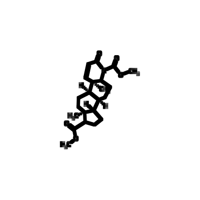 COC(=O)C1CC[C@H]2[C@@H]3CCC4N(C(=O)OC)C(=O)C=C[C@]4(C)[C@@H]3CC[C@]12C